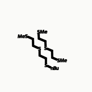 CCCCSCCSCCSC.CSCCSCCSC